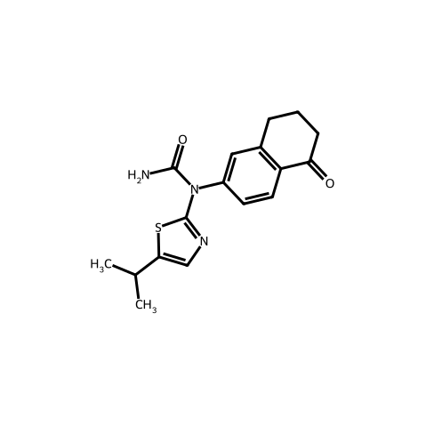 CC(C)c1cnc(N(C(N)=O)c2ccc3c(c2)CCCC3=O)s1